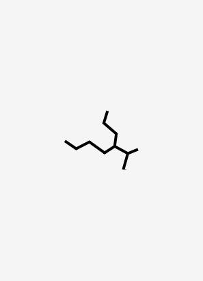 [CH2]C(C)C(CCC)CCCC